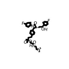 CN(C)CCNC(=O)COC1(CCc2ccc(C3[C@@H](CCC(O)c4ccc(F)cc4)C(=O)N3c3ccc(F)cc3)cc2)COC1